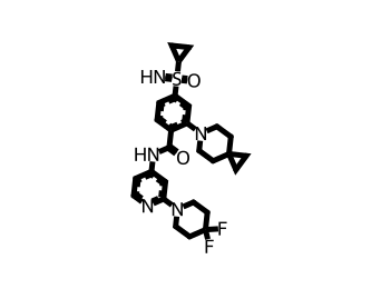 N=S(=O)(c1ccc(C(=O)Nc2ccnc(N3CCC(F)(F)CC3)c2)c(N2CCC3(CC2)CC3)c1)C1CC1